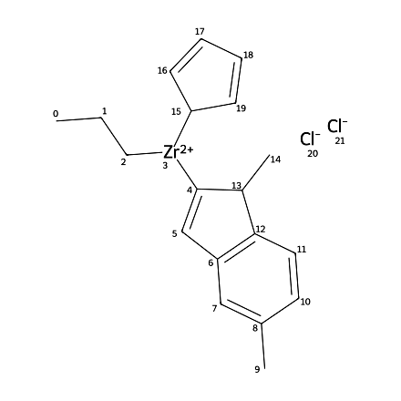 CC[CH2][Zr+2]([C]1=Cc2cc(C)ccc2C1C)[CH]1C=CC=C1.[Cl-].[Cl-]